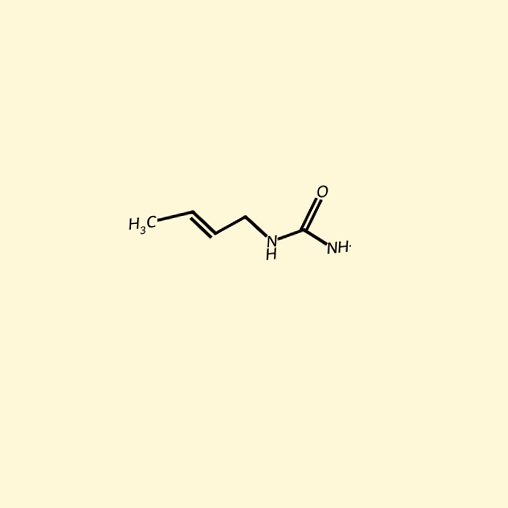 CC=CCNC([NH])=O